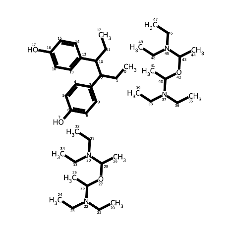 CCC(c1ccc(O)cc1)C(CC)c1ccc(O)cc1.CCN(CC)C(C)OC(C)N(CC)CC.CCN(CC)C(C)OC(C)N(CC)CC